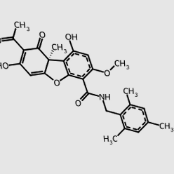 COc1cc(O)c2c(c1C(=O)NCc1c(C)cc(C)cc1C)OC1=CC(O)=C(C(C)=O)C(=O)[C@]12C